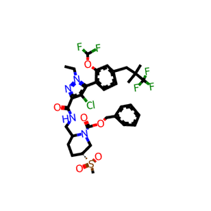 CCn1nc(C(=O)NCC2CC[C@@H](S(C)(=O)=O)CN2C(=O)OCc2ccccc2)c(Cl)c1-c1ccc(CC(C)(C)C(F)(F)F)cc1OC(F)F